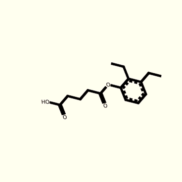 CCc1cccc(OC(=O)CCCC(=O)O)c1CC